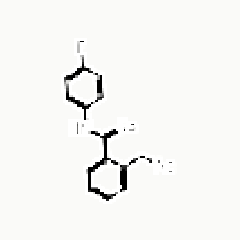 CC(=O)Cc1ccccc1C(=[Se])Nc1ccc(F)cc1